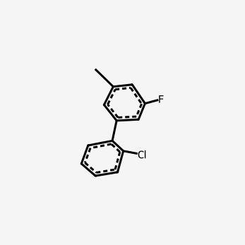 Cc1cc(F)cc(-c2ccccc2Cl)c1